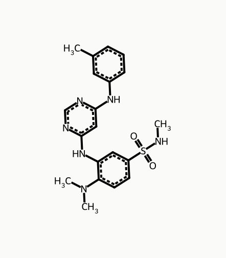 CNS(=O)(=O)c1ccc(N(C)C)c(Nc2cc(Nc3cccc(C)c3)ncn2)c1